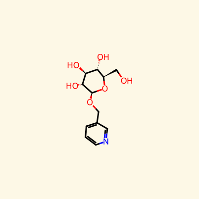 OC[C@H]1O[C@@H](OCc2cccnc2)[C@H](O)[C@@H](O)[C@@H]1O